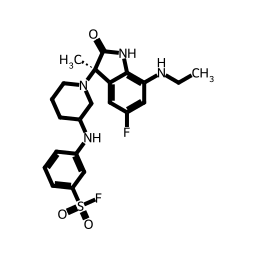 CCNc1cc(F)cc2c1NC(=O)[C@]2(C)N1CCCC(Nc2cccc(S(=O)(=O)F)c2)C1